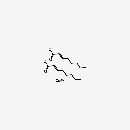 CCCCCC=CC(=O)[O-].CCCCCC=CC(=O)[O-].[Co+2]